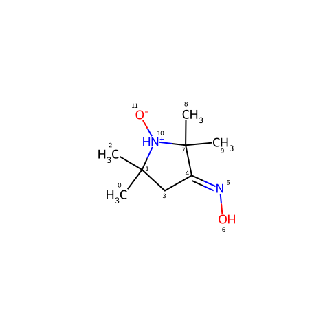 CC1(C)CC(=NO)C(C)(C)[NH+]1[O-]